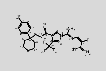 C=C(N)/C(F)=C\N=C(/N)n1cc(C(=O)NCC2(c3ccc(Cl)cc3)CCCCC2)c(C(F)(F)F)n1